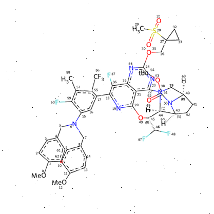 COc1ccc(CN(Cc2ccc(OC)cc2)c2cc(-c3nc4c5c(nc(OCC6(S(C)(=O)=O)CC6)nc5c3F)N3C[C@H]5CC[C@@H]([C@H]3[C@H](C(F)F)O4)N5C(=O)OC(C)(C)C)c(C(F)(F)F)c(C)c2F)cc1